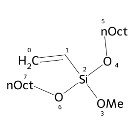 C=C[Si](OC)(OCCCCCCCC)OCCCCCCCC